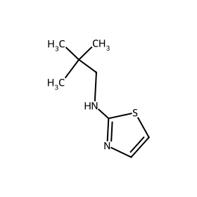 CC(C)(C)CNc1nccs1